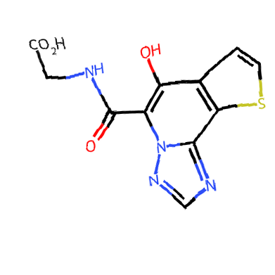 O=C(O)CNC(=O)c1c(O)c2ccsc2c2ncnn12